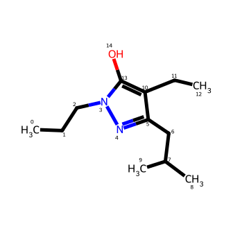 CCCn1nc(CC(C)C)c(CC)c1O